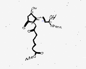 CCCCC[C@H](O)/C=C/[C@H]1[C@H](O)CC(=O)[C@@H]1CC(=O)CCCCC(=O)OC